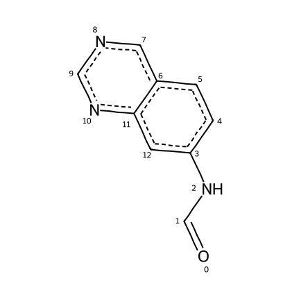 O=CNc1ccc2cncnc2c1